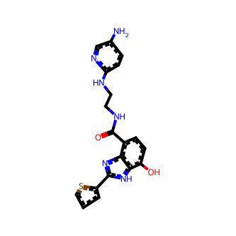 Nc1ccc(NCCNC(=O)c2ccc(O)c3[nH]c(-c4cccs4)nc23)nc1